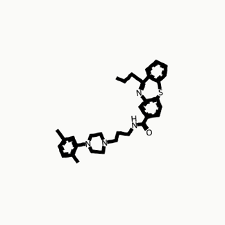 CCCC1=Nc2cc(C(=O)NCCCN3CCN(c4cc(C)ccc4C)CC3)ccc2Sc2ccccc21